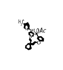 CC(=O)OC(OC(C)=O)c1cccc(OCCC2(CCN3CCC(Nc4ccc(C)cn4)CC3)CCCCC2)c1